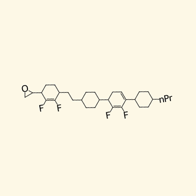 CCCC1CCC(C2=CCC(C3CCC(CCC4CCC(C5CO5)C(F)=C4F)CC3)C(F)=C2F)CC1